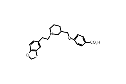 O=C(O)c1ccc(OCC2CCCN(CCc3ccc4c(c3)OCO4)C2)cc1